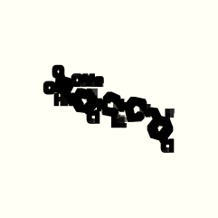 CC[C@H]1CN(c2ncc(Nc3c(OC)c(=O)c3=O)cc2Cl)CCN1C1CCN(Cc2ccc(Cl)cc2F)CC1